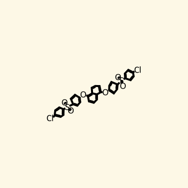 O=S(=O)(c1ccc(Cl)cc1)c1ccc(Oc2cccc3c(Oc4ccc(S(=O)(=O)c5ccc(Cl)cc5)cc4)cccc23)cc1